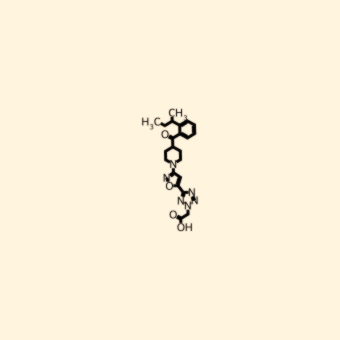 CCC(C)c1ccccc1C(=O)C1CCN(c2cc(-c3nnn(CC(=O)O)n3)on2)CC1